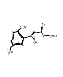 CC(=O)N(CC(=O)OC(C)(C)C)c1cc(C(F)(F)F)ccc1C#N